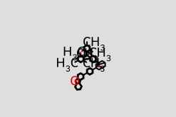 Cc1cc(C)c(B(c2ccc(C34CC5CC(C3)CC(c3ccc(-c6ccc7oc8ccccc8c7c6)cc3)(C5)C4)cc2)c2c(C)cc(C)cc2C)c(C)c1